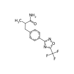 CC(Cc1ccc(-c2noc(C(F)(F)F)n2)cc1)C(N)=O